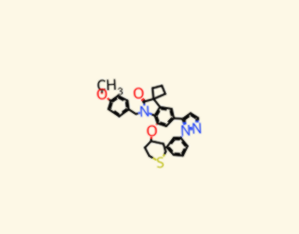 COc1ccc(CN2C(=O)C3(CCC3)c3cc(-c4ccnn4-c4ccccc4)cc(OC4CCSCC4)c32)cc1